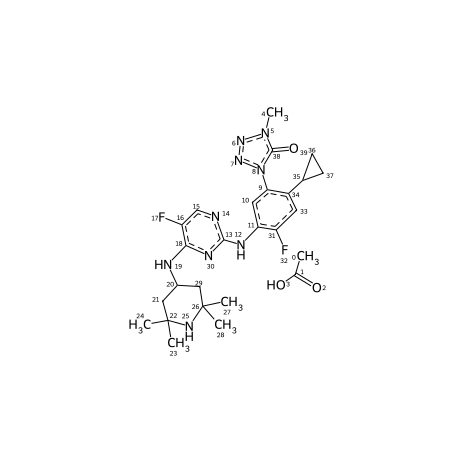 CC(=O)O.Cn1nnn(-c2cc(Nc3ncc(F)c(NC4CC(C)(C)NC(C)(C)C4)n3)c(F)cc2C2CC2)c1=O